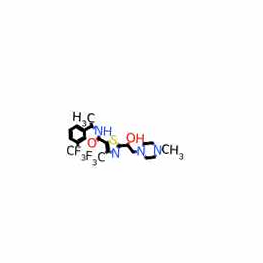 CC(NC(=O)c1sc(C(O)CN2CCN(C)CC2)nc1C(F)(F)F)c1cccc(C(F)(F)F)c1